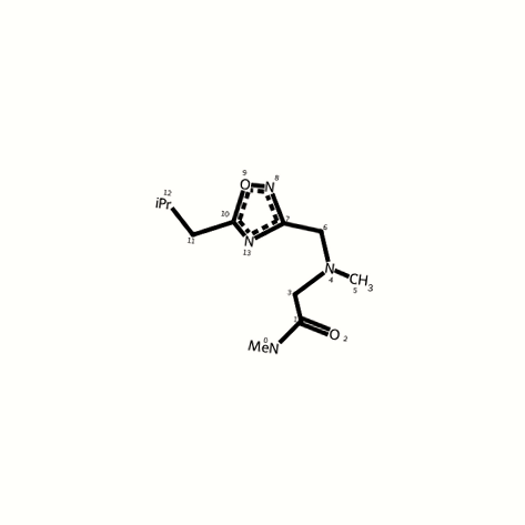 CNC(=O)CN(C)Cc1noc(CC(C)C)n1